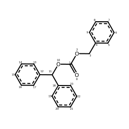 O=C(OCc1ccccc1)OC(c1ccccc1)c1ccccc1